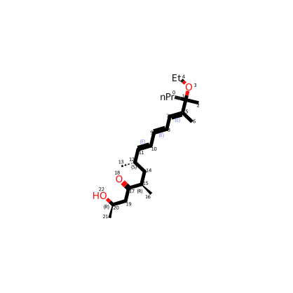 CCCC(C)(OCC)/C(C)=C/C=C/C=C/[C@@H](C)C[C@@H](C)C(=O)C[C@@H](C)O